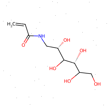 C=CC(=O)NC[C@H](O)C(O)[C@H](O)C(O)CO